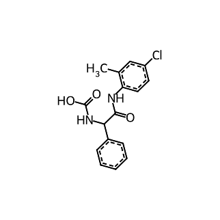 Cc1cc(Cl)ccc1NC(=O)C(NC(=O)O)c1ccccc1